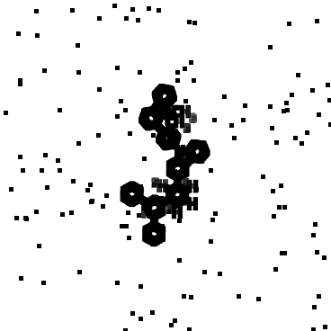 [2H]c1c([2H])c(-c2cc(-c3ccccc3)nc(-c3ccccc3)c2)c([2H])c(-c2ccc3c(c2)c2ccccc2n3-c2ccc(-c3cccc4c3[Si](C)(C)c3ccccc3-4)cc2)c1[2H]